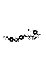 Cc1ccc(C(C)C)c(N2C(=O)CS/C2=N\C(=O)OCC(Cl)c2ccc(-c3ncn(-c4ccc(OC(F)(F)F)cc4)n3)cc2)c1